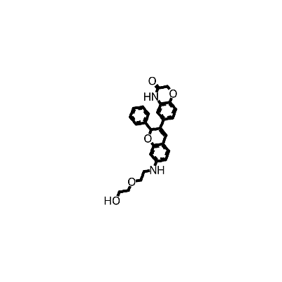 O=C1COc2ccc(C3=Cc4ccc(NCCOCCO)cc4OC3c3ccccc3)cc2N1